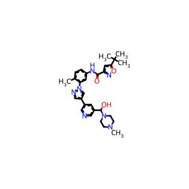 Cc1ccc(NC(=O)c2cc(C(C)(C)C)on2)cc1-n1cc(-c2cncc(C(O)N3CCN(C)CC3)c2)cn1